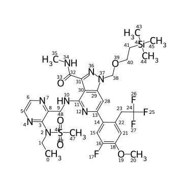 CCN(c1nccnc1CNc1nc(-c2cc(F)c(OC)cc2CC(F)(F)F)cc2c1c(C(=O)NC)nn2COCC[Si](C)(C)C)S(C)(=O)=O